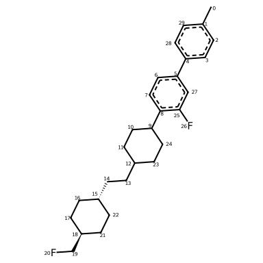 Cc1ccc(-c2ccc(C3CCC(CC[C@H]4CC[C@H](CF)CC4)CC3)c(F)c2)cc1